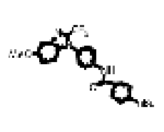 CCCCc1ccc(C(=O)Nc2ccc(-n3c(C(F)(F)F)nc4cc(OC)ccc43)cc2)cc1